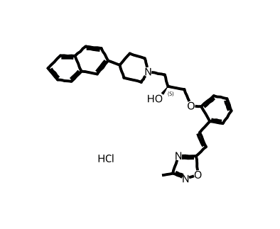 Cc1noc(C=Cc2ccccc2OC[C@@H](O)CN2CCC(c3ccc4ccccc4c3)CC2)n1.Cl